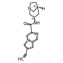 C#Cc1cc2cnc(C(=O)N[C@@H]3C[C@H]4CCN(C4)C3)cn2c1